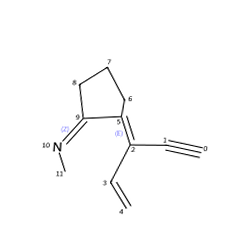 C#C/C(C=C)=C1\CCC\C1=N\C